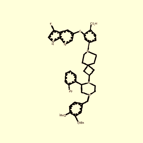 COc1ccc(CN2CCN(C3CC4(CCN(c5ccc(C(=O)O)c(Oc6cnc7[nH]cc(F)c7c6)c5)CC4)C3)C(c3ccccc3C(C)C)C2)cc1OC